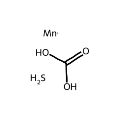 O=C(O)O.S.[Mn]